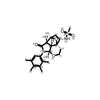 Cc1cc(N2C(=O)[C@H]3[C@H]4[C@@H]2OCC[C@@]42O[C@]3(C)C[C@@H]2NS(C)(=O)=O)c(C)c(C)c1C